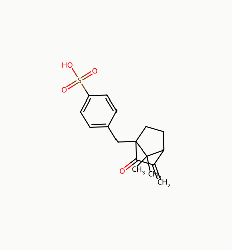 C=C1C(=O)C2(Cc3ccc(S(=O)(=O)O)cc3)CCC1C2(C)C